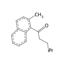 Cc1ccc2ccccc2c1C(=O)CCC(C)C